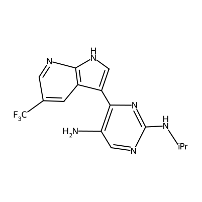 CC(C)Nc1ncc(N)c(-c2c[nH]c3ncc(C(F)(F)F)cc23)n1